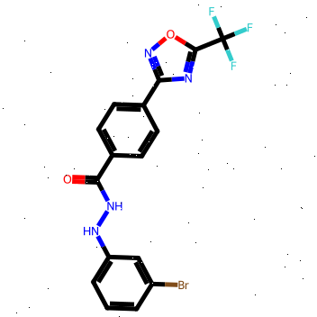 O=C(NNc1cccc(Br)c1)c1ccc(-c2noc(C(F)(F)F)n2)cc1